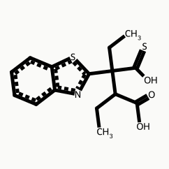 CCC(C(=O)O)C(CC)(C(O)=S)c1nc2ccccc2s1